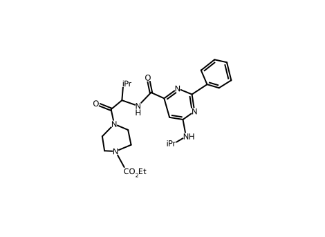 CCOC(=O)N1CCN(C(=O)C(NC(=O)c2cc(NC(C)C)nc(-c3ccccc3)n2)C(C)C)CC1